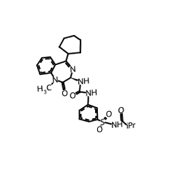 CC(C)C(=O)NS(=O)(=O)c1cccc(NC(=O)N[C@@H]2N=C(C3CCCCC3)c3ccccc3N(C)C2=O)c1